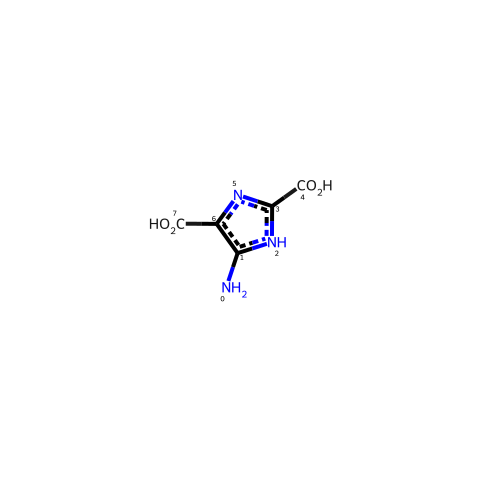 Nc1[nH]c(C(=O)O)nc1C(=O)O